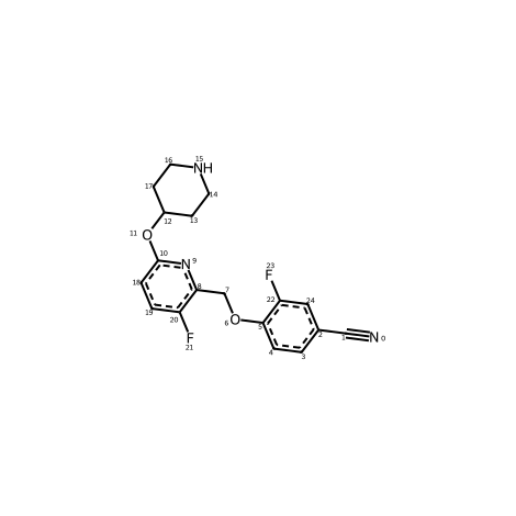 N#Cc1ccc(OCc2nc(OC3CCNCC3)ccc2F)c(F)c1